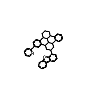 c1ccc(-c2ccc3c(c2)C2CC(c4cccc5c4oc4ccccc45)CC4c5ccccc5C5CCCC3C5C42)nc1